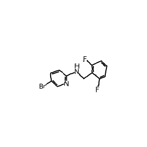 Fc1cccc(F)c1CNc1ccc(Br)cn1